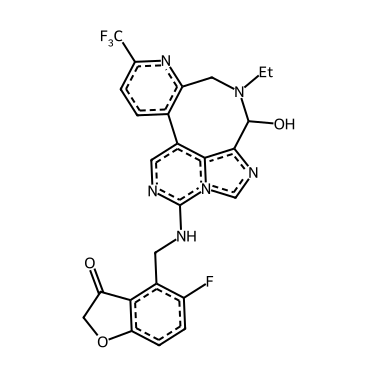 CCN1Cc2nc(C(F)(F)F)ccc2-c2cnc(NCc3c(F)ccc4c3C(=O)CO4)n3cnc(c23)C1O